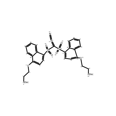 CCCCCCCCCCCCOc1ccc(S(=O)(=O)C(=[N+]=[N-])S(=O)(=O)c2ccc(OCCCCCCCCCCCC)c3ccccc23)c2ccccc12